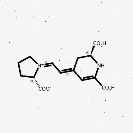 O=C(O)C1=C/C(=C/C=[N+]2/CCC[C@H]2C(=O)[O-])C[C@@H](C(=O)O)N1